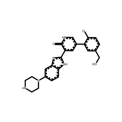 O=c1[nH]cc(-c2cc(CO)ccc2Cl)cc1-c1nc2cc(N3CCNCC3)ccc2[nH]1